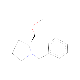 COC[C@@H]1CCCN1Cc1ccccc1